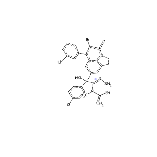 C=C(S)N(C)/C(=N\N)C(O)(c1ccc(Cl)cc1)c1cc2c3c(c1)c(-c1cccc(Cl)c1)c(Br)c(=O)n3CC2